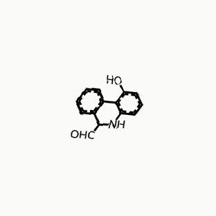 O=CC1Nc2cccc(O)c2-c2ccccc21